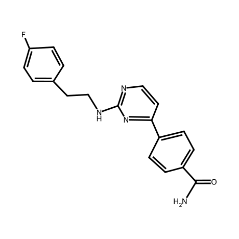 NC(=O)c1ccc(-c2ccnc(NCCc3ccc(F)cc3)n2)cc1